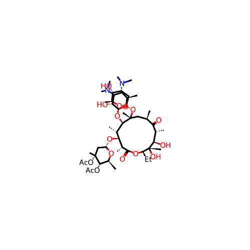 CC[C@H]1OC(=O)[C@H](C)[C@@H](O[C@H]2C[C@@](C)(OC(C)=O)[C@@H](OC(C)=O)[C@H](C)O2)[C@H](C)[C@@H](O[C@@H]2O[C@H](C)C[C@H](N(C)C)[C@H]2O)[C@](C)(O[C@H]2C[C@@H](N(C)C)[C@@H](O)[C@H](C)O2)C[C@@H](C)C(=O)[C@H](C)[C@@H](O)[C@]1(C)O